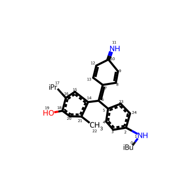 CCC(C)Nc1ccc(C(=C2C=CC(=N)C=C2)c2cc(C(C)C)c(O)cc2C)cc1